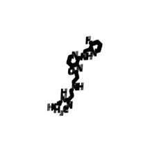 C#CN/C(CCNCCc1nc2c(NCc3ncccc3F)nccc2o1)=N\C